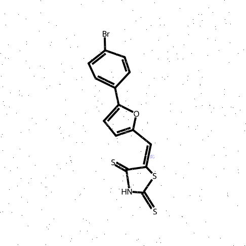 S=C1NC(=S)/C(=C\c2ccc(-c3ccc(Br)cc3)o2)S1